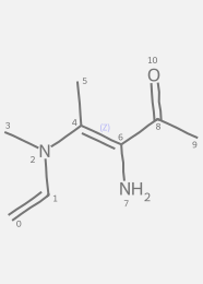 C=CN(C)/C(C)=C(\N)C(C)=O